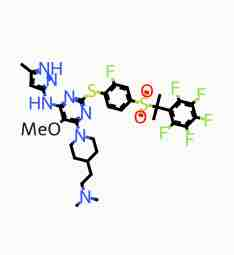 COc1c(Nc2cc(C)[nH]n2)nc(Sc2ccc(S(=O)(=O)C(C)(C)c3c(F)c(F)c(F)c(F)c3F)cc2F)nc1N1CCC(CCN(C)C)CC1